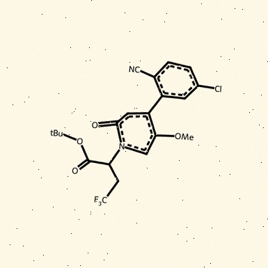 COc1cn(C(CC(F)(F)F)C(=O)OC(C)(C)C)c(=O)cc1-c1cc(Cl)ccc1C#N